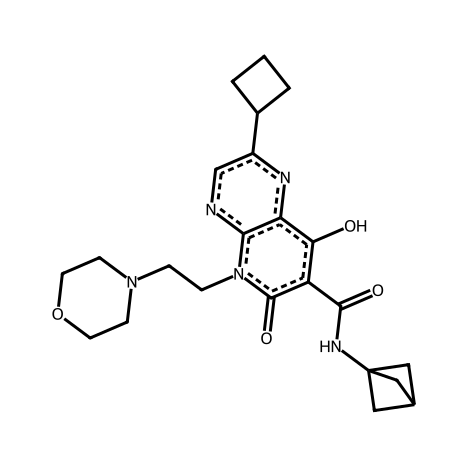 O=C(NC12CC(C1)C2)c1c(O)c2nc(C3CCC3)cnc2n(CCN2CCOCC2)c1=O